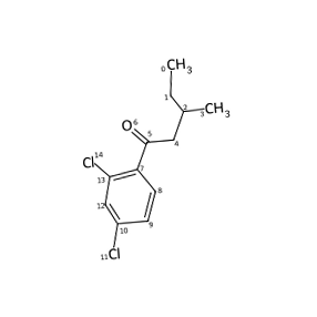 CCC(C)CC(=O)c1ccc(Cl)cc1Cl